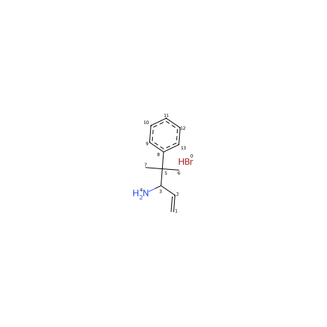 Br.C=CC(N)C(C)(C)c1ccccc1